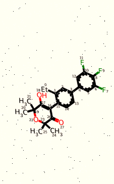 CCc1cc(-c2cc(F)c(F)c(F)c2)ccc1C1=C(O)C(C)(C)OC(C)(C)C1=O